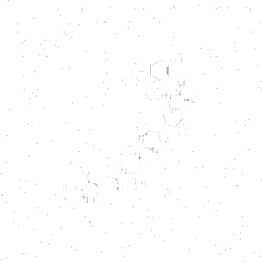 Cc1ccc(OC(F)F)c(Cn2c3cc(-c4cnc(N5CCN(C(=O)COC(=O)C(N)C(C)C)C(C)C5)nc4)ccc3c(=O)n2C)c1